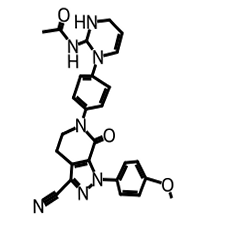 COc1ccc(-n2nc(C#N)c3c2C(=O)N(c2ccc(N4C=CCNC4NC(C)=O)cc2)CC3)cc1